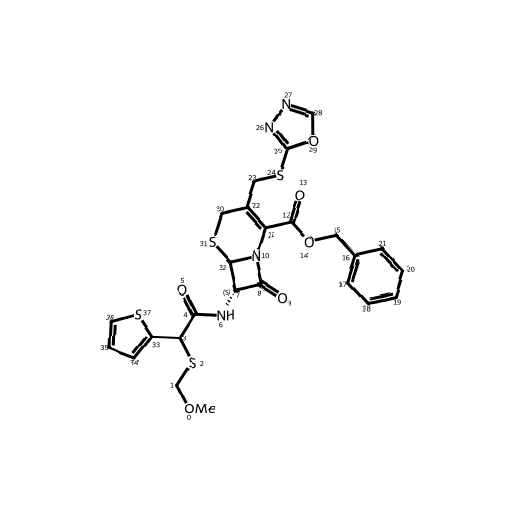 COCSC(C(=O)N[C@H]1C(=O)N2C(C(=O)OCc3ccccc3)=C(CSc3nnco3)CSC12)c1cccs1